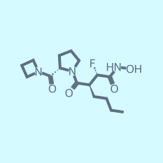 CCCC[C@@H](C(=O)N1CCC[C@H]1C(=O)N1CCC1)[C@H](F)C(=O)NO